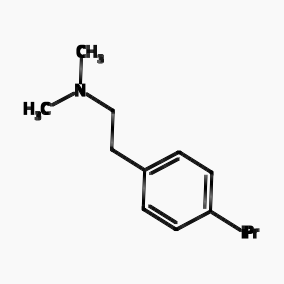 CC(C)c1ccc(CCN(C)C)cc1